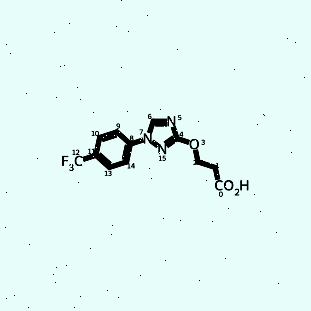 O=C(O)CCOc1ncn(-c2ccc(C(F)(F)F)cc2)n1